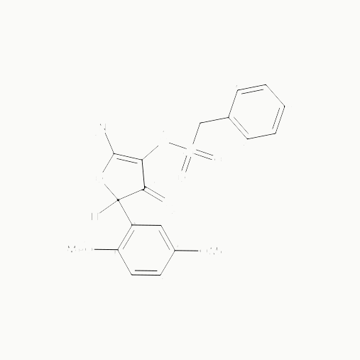 [2H]C1(c2cc(OC)ccc2OC)OC(N)=C(OS(=O)(=O)Cc2ccccc2)C1=O